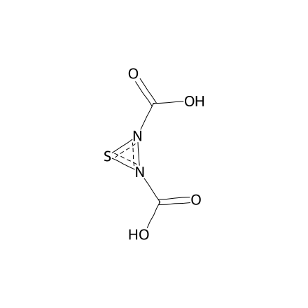 O=C(O)n1sn1C(=O)O